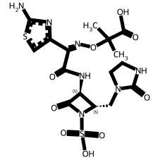 CC(C)(ON=C(C(=O)N[C@@H]1C(=O)N(S(=O)(=O)O)[C@H]1CN1CCNC1=O)c1csc(N)n1)C(=O)O